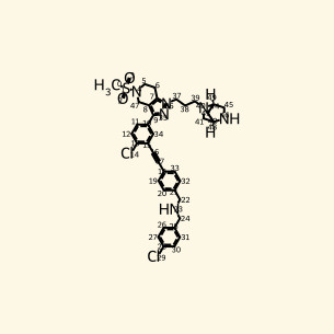 CS(=O)(=O)N1CCc2c(c(-c3ccc(Cl)c(C#Cc4ccc(CNCc5ccc(Cl)cc5)cc4)c3)nn2CCCN2C[C@@H]3C[C@H]2CN3)C1